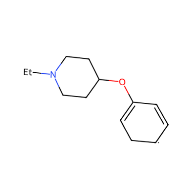 CCN1CCC(OC2=CC[CH]C=C2)CC1